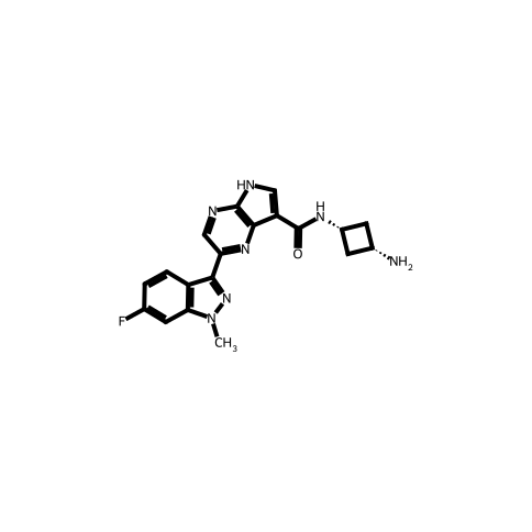 Cn1nc(-c2cnc3[nH]cc(C(=O)N[C@H]4C[C@@H](N)C4)c3n2)c2ccc(F)cc21